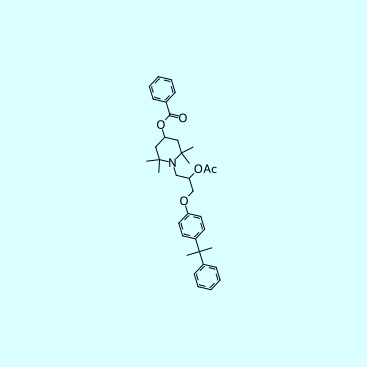 CC(=O)OC(COc1ccc(C(C)(C)c2ccccc2)cc1)CN1C(C)(C)CC(OC(=O)c2ccccc2)CC1(C)C